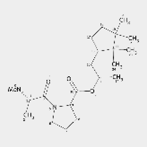 CN[C@@H](C)C(=O)N1CCCC1C(=O)OC(C)CC1CCC(C)(C)C1(C)C